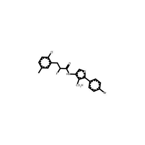 Cc1ccc(Cl)c(CC(F)C(=O)Nc2csc(-c3ccc(Br)cc3)c2C(=O)O)c1